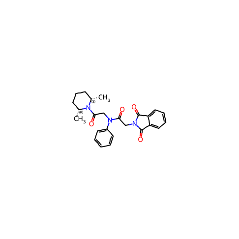 C[C@@H]1CCC[C@H](C)N1C(=O)CN(C(=O)CN1C(=O)c2ccccc2C1=O)c1ccccc1